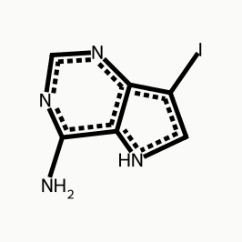 Nc1ncnc2c(I)c[nH]c12